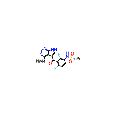 CCCS(=O)(=O)Nc1ccc(F)c(C(=O)c2c[nH]c3ncnc(NC)c23)c1F